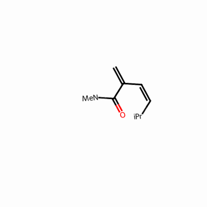 C=C(/C=C\C(C)C)C(=O)NC